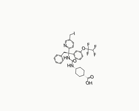 O=C(N[C@@](Cc1ccccc1)(c1cccc(OC(F)(F)C(F)F)c1)c1ccc(CI)cn1)N[C@H]1CC[C@@H](C(=O)O)CC1